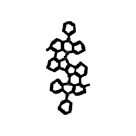 Cc1ccc2c3c1-c1cccc4c1n(c1c5cccc6c5n(c41)B1c4ccccc4N(c4ccccc4)c4ccc(C)c-6c41)B3c1ccccc1N2c1ccccc1